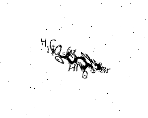 CCOC(=O)c1cnc2c(c1)[nH]c(=O)c1c2nn2cc(Br)sc12